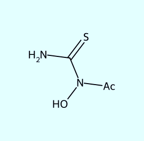 CC(=O)N(O)C(N)=S